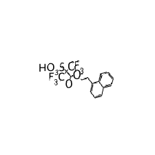 O=C(OCCc1cccc2ccccc12)C(C(F)(F)F)(C(F)(F)F)S(=O)(=O)O